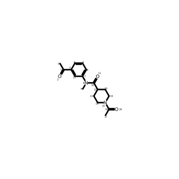 CC(=O)c1cccc(N(C)C(=O)C2CCN(C(C)=O)CC2)c1